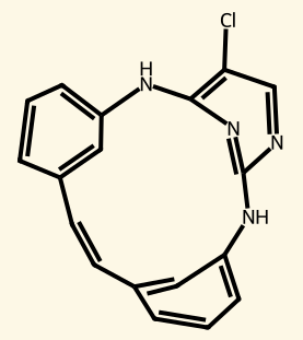 Clc1cnc2nc1Nc1cccc(c1)/C=C\c1cccc(c1)N2